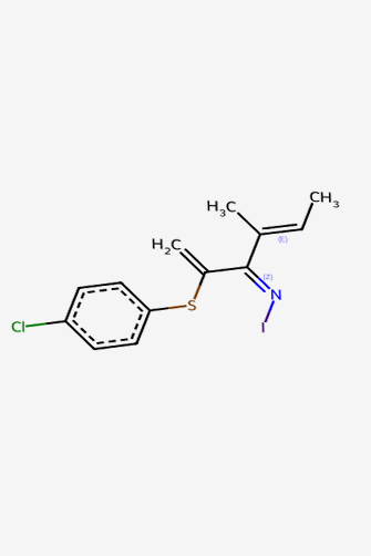 C=C(Sc1ccc(Cl)cc1)C(=N\I)/C(C)=C/C